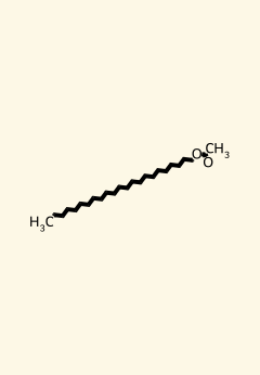 CCCCCCCCCCCCCCCCCCCCCCCOC(C)=O